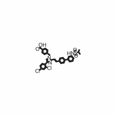 CC(C)S(=O)(=O)Nc1cccc(-c2ccc(C=Cc3nc(-c4ccc(Cl)cc4Cl)cn3Cc3ccc(C(=O)O)cc3)cc2)c1